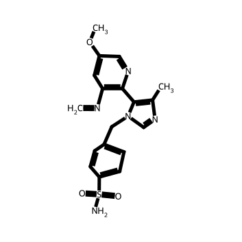 C=Nc1cc(OC)cnc1-c1c(C)ncn1Cc1ccc(S(N)(=O)=O)cc1